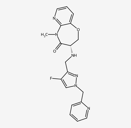 CN1C(=O)[C@@H](NCc2nn(Cc3ccccn3)cc2F)COc2cccnc21